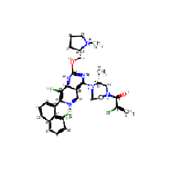 C=C(F)C(=O)N1CCN(c2nc(OC[C@@H]3CCCN3C)nc3c(F)c(-c4cccc5cccc(Cl)c45)ncc23)[C@H](C)C1